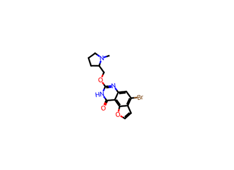 CN1CCCC1COc1nc2cc(Br)c3ccoc3c2c(=O)[nH]1